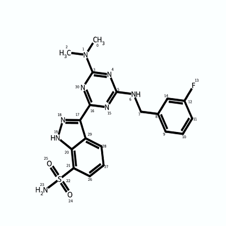 CN(C)c1nc(NCc2cccc(F)c2)nc(-c2n[nH]c3c(S(N)(=O)=O)cccc23)n1